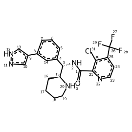 O=C(N[C@@H](c1cccc(-c2cn[nH]c2)c1)[C@@H]1CCCCN1)c1nccc(C(F)(F)F)c1Cl